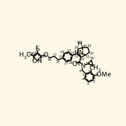 COc1cccc(CN(C(=O)C2=C(c3ccc(CCCOc4noc(C)c4F)cc3)C[C@@H]3CCC2N3)C2CC2)c1C